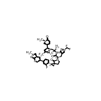 Cn1cc2cc(-c3ccc([C@H]4C[C@@]45CCN([C@H](Cc4cnn(C(F)F)c4)C(=O)NC(C)(C)Cn4nc(C(F)(F)F)cc4-c4ccc(=O)n(C)c4)C5=O)c(F)c3)cnc2n1